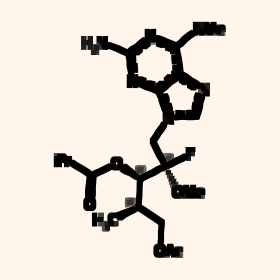 CNc1nc(N)nc2c1ncn2C[C@](F)(OC)[C@H](OC(=O)C(C)C)[C@H](C)COC(C)=O